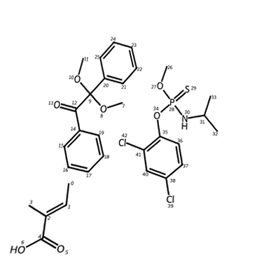 C/C=C(\C)C(=O)O.COC(OC)(C(=O)c1ccccc1)c1ccccc1.COP(=S)(NC(C)C)Oc1ccc(Cl)cc1Cl